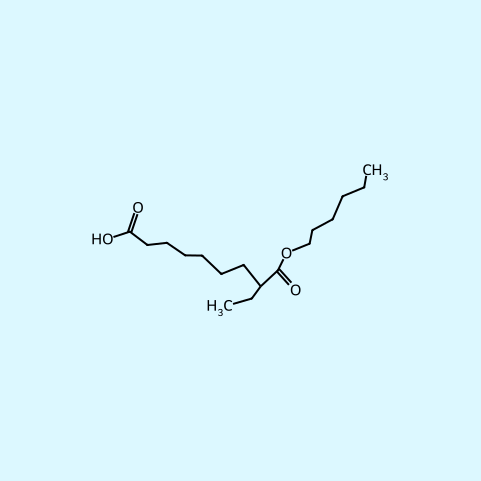 CCCCCCOC(=O)C(CC)CCCCCCC(=O)O